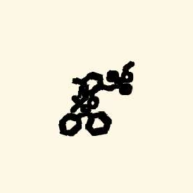 CCOS(=O)(=O)Cc1ccc(C)nc1O[Si](c1ccccc1)(c1ccccc1)C(C)(C)C